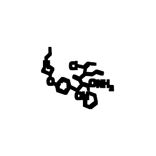 C=C/C=C(C(=C)/C(=C(\ON)[C@H]1C=CC=CC1)[C@@H](O)c1ccc(OC2CN(CCC)C2)cc1)\C(Cl)=C/C